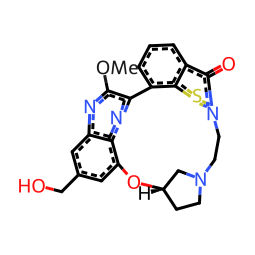 COc1nc2cc(CO)cc3c2nc1-c1cccc2c(=O)n(sc12)CCN1CC[C@@H](C1)O3